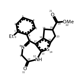 CCc1ccccc1C1=NCC(=O)Nc2sc3c(c21)CC(C(=O)OC)C3